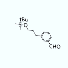 CC(C)(C)[Si](C)(C)OCCCc1cccc(C=O)c1